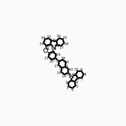 c1ccc2c(c1)c1ccccc1n2-c1ccc2cc(-c3ccc4c(c3)-n3c5ccccc5c5cccc(c53)O4)ccc2c1